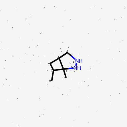 CC1CC2CNNC12C